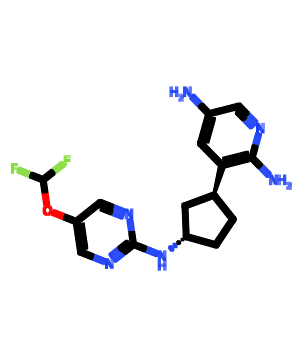 Nc1cnc(N)c([C@H]2CC[C@H](Nc3ncc(OC(F)F)cn3)C2)c1